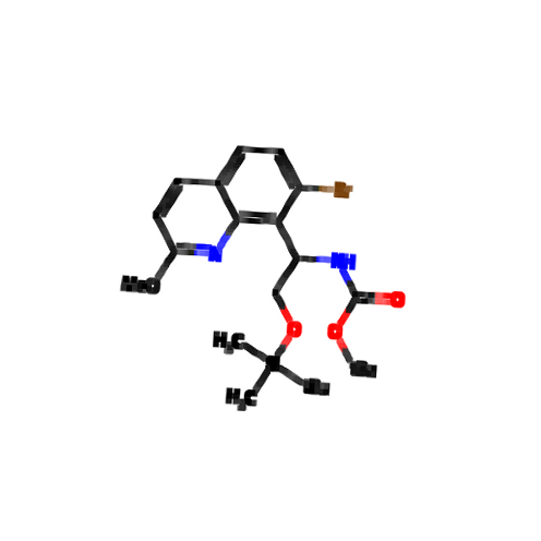 COc1ccc2ccc(Br)c(C(CO[Si](C)(C)C(C)(C)C)NC(=O)OC(C)(C)C)c2n1